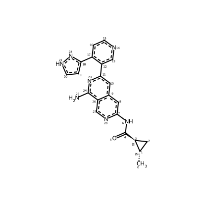 C[C@H]1C[C@@H]1C(=O)Nc1cc2cc(-c3cnccc3-c3cc[nH]n3)nc(N)c2cn1